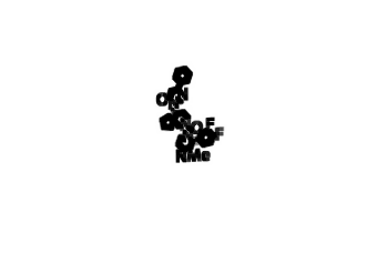 CN[C@@H]1CCN(C(=O)N2CC[C@@H](Cn3cnc(-c4ccccc4)cc3=O)C3(CCCC3)C2)[C@H](c2ccc(F)c(F)c2)C1